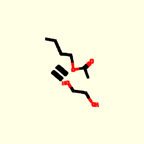 C=C.C=C.CCCCOC(C)=O.OCCO